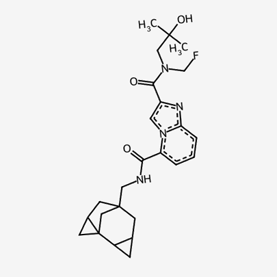 CC(C)(O)CN(CF)C(=O)c1cn2c(C(=O)NCC34CC5CC5C5(CC5C3)C4)cccc2n1